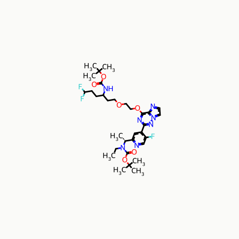 CCN(C(=O)OC(C)(C)C)[C@H](C)c1cc(-c2nc(OCCOCCC(CCC(F)F)NC(=O)OC(C)(C)C)c3nccn3n2)c(F)cn1